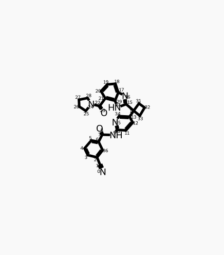 N#Cc1cccc(C(=O)Nc2ccc(C3(c4nc5cccc(C(=O)N6CCCC6)c5[nH]4)CCC3)cn2)c1